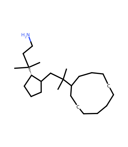 CC(C)(CC1CCC[C@@H]1C(C)(C)CCN)C1CCCCCCCCCC1